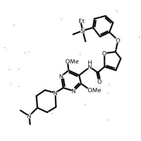 CC[Si](C)(C)c1cccc(OC2CC=C(C(=O)Nc3c(OC)nc(N4CCC(N(C)C)CC4)nc3OC)O2)c1